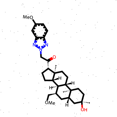 COC[C@@H]1C[C@H]2C[C@](C)(O)CC[C@]2(C)[C@H]2CC[C@]3(C)[C@@H](C(=O)Cn4nc5ccc(OC)cc5n4)CC[C@H]3[C@H]12